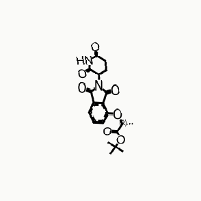 C[C@@H](Oc1cccc2c1C(=O)N(C1CCC(=O)NC1=O)C2=O)C(=O)OC(C)(C)C